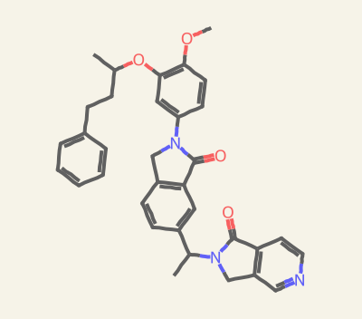 COc1ccc(N2Cc3ccc(C(C)N4Cc5cnccc5C4=O)cc3C2=O)cc1OC(C)CCc1ccccc1